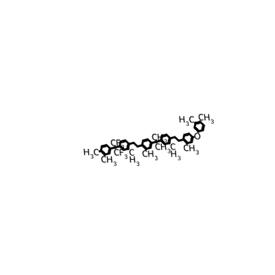 Cc1ccc(Oc2ccc(CCc3ccc(C(C)(C)c4ccc(CCc5ccc(C(c6ccc(C)c(C)c6)(C(F)(F)F)C(F)(F)F)cc5C)c(C)c4)cc3C)c(C)c2)cc1C